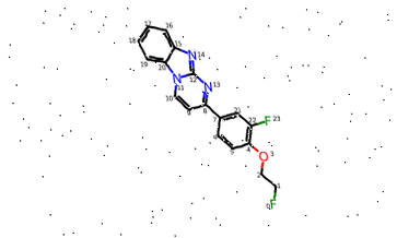 FCCOc1ccc(-c2ccn3c(n2)nc2ccccc23)cc1F